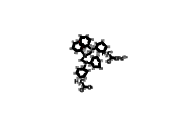 CC(=O)[O-].CC(=O)[O-].[Pd+2].c1ccc(N(CP(c2ccccc2)c2ccccc2)CP(c2ccccc2)c2ccccc2)cc1